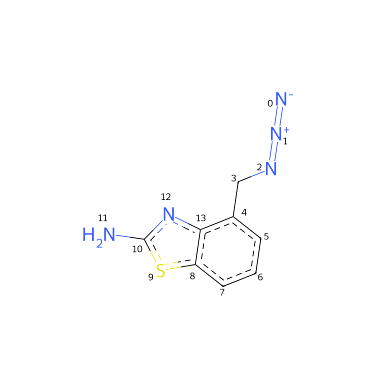 [N-]=[N+]=NCc1cccc2sc(N)nc12